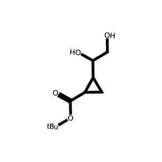 CC(C)(C)OC(=O)C1CC1C(O)CO